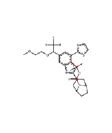 COCCOC(c1cc(-c2nccs2)c2oc(N3CC4CCC(C3)N4C(=O)OC(C)(C)C)nc2c1)C(F)(F)F